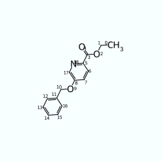 CCOC(=O)c1ccc(OCc2ccccc2)cn1